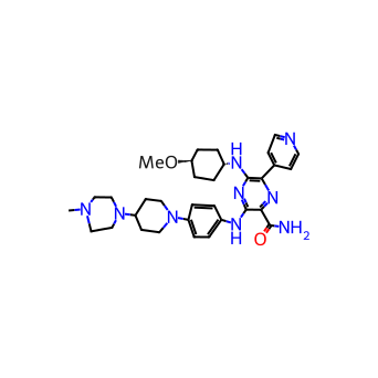 CO[C@H]1CC[C@H](Nc2nc(Nc3ccc(N4CCC(N5CCN(C)CC5)CC4)cc3)c(C(N)=O)nc2-c2ccncc2)CC1